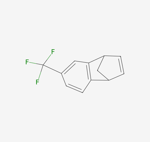 FC(F)(F)c1ccc2c(c1)C1C=CC2C1